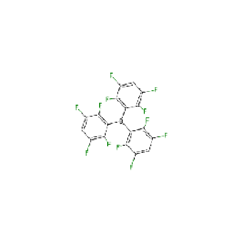 Fc1cc(F)c(F)c(B(c2c(F)c(F)cc(F)c2F)c2c(F)c(F)cc(F)c2F)c1F